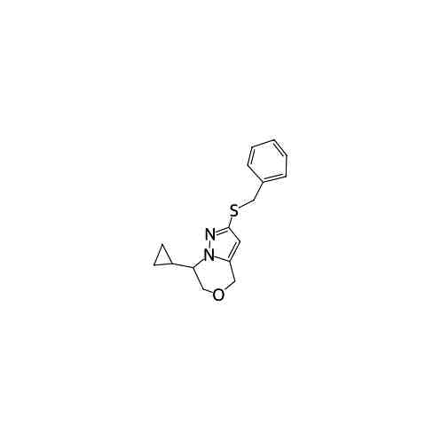 c1ccc(CSc2cc3n(n2)C(C2CC2)COC3)cc1